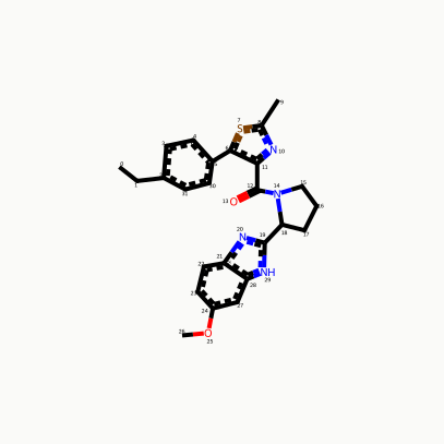 CCc1ccc(-c2sc(C)nc2C(=O)N2CCCC2c2nc3ccc(OC)cc3[nH]2)cc1